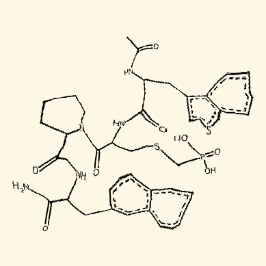 CC(=O)NC(Cc1csc2ccccc12)C(=O)NC(CSCP(=O)(O)O)C(=O)N1CCCCC1C(=O)NC(Cc1ccc2ccccc2c1)C(N)=O